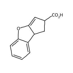 O=C(O)C1C=C2Oc3ccccc3C2C1